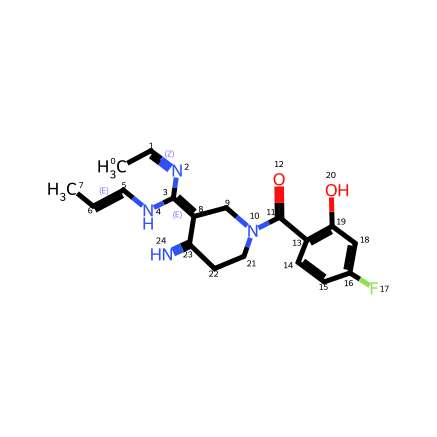 C/C=N\C(N/C=C/C)=C1/CN(C(=O)c2ccc(F)cc2O)CCC1=N